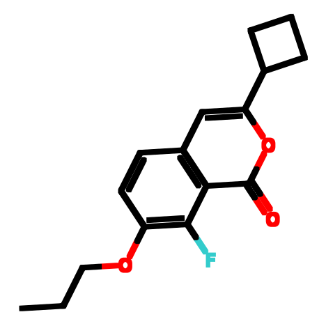 CCCOc1ccc2cc(C3CCC3)oc(=O)c2c1F